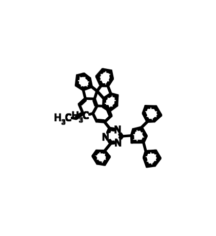 C\C=C/C=C1\C(=C2\C=CC(c3nc(-c4ccccc4)nc(-c4cc(-c5ccccc5)cc(-c5ccccc5)c4)n3)=CC2C)C2(c3ccccc31)c1ccccc1-c1ccccc12